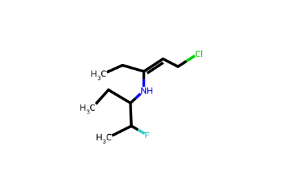 CC/C(=C/CCl)NC(CC)C(C)F